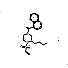 C=CS(=O)(=O)N1CCN(C(=O)c2cccc3ccccc23)CC1CCCC